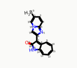 Bc1ccc2nc(-c3c4cccccc-4[nH]c3=O)cn2c1